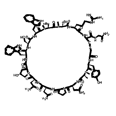 CCCC[C@H]1C(=O)N(C)[C@@H](CCCC)C(=O)N[C@@H](CCCNC(=N)N)C(=O)NC(C(=O)NCC(N)=O)CSCC(=O)N[C@@H](Cc2ccc(O)cc2)C(=O)N(C)[C@@H](C)C(=O)N[C@@H](CC(N)=O)C(=O)N2CCC[C@H]2C(=O)N[C@@H](CC(N)=O)C(=O)N[C@@H](CC(N)=O)C(=O)N2C[C@H](O)C[C@H]2C(=O)N[C@@H](Cc2c[nH]c3ccccc23)C(=O)N[C@@H](CO)C(=O)N[C@@H](Cc2c[nH]c3ccccc23)C(=O)N1C